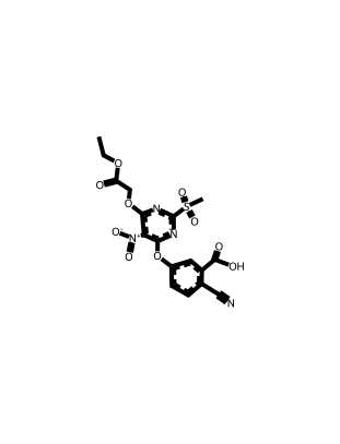 CCOC(=O)COc1nc(S(C)(=O)=O)nc(Oc2ccc(C#N)c(C(=O)O)c2)c1[N+](=O)[O-]